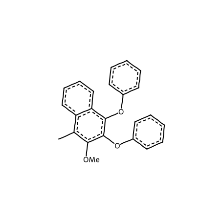 COc1c(Oc2ccccc2)c(Oc2ccccc2)c2ccccc2c1C